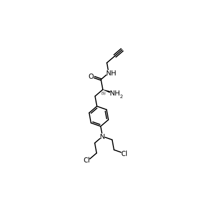 C#CCNC(=O)[C@@H](N)Cc1ccc(N(CCCl)CCCl)cc1